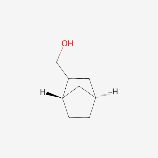 OCC1C[C@H]2CC[C@H]1C2